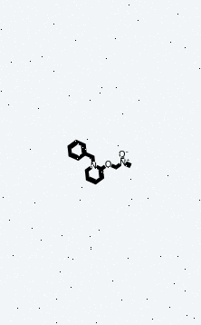 C=[N+]([O-])COC1=CC=CCN1Cc1ccccc1